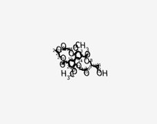 COc1cc(C(=O)OCCC2CC2O)cc(-c2cc(C(=O)OCC3CO3)cc(OC)c2OCC2CO2)c1OCC1CO1